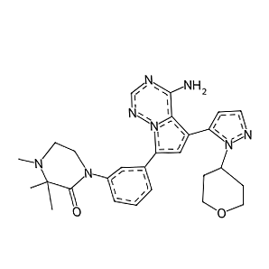 CN1CCN(c2cccc(-c3cc(-c4ccnn4C4CCOCC4)c4c(N)ncnn34)c2)C(=O)C1(C)C